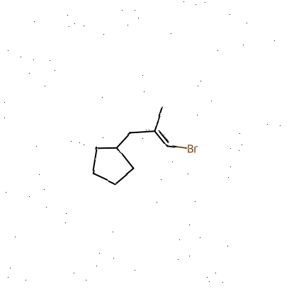 CC(=CBr)CC1CCCC1